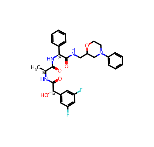 C[C@H](NC(=O)[C@@H](O)c1cc(F)cc(F)c1)C(=O)N[C@H](C(=O)NCC1CN(c2ccccc2)CCO1)c1ccccc1